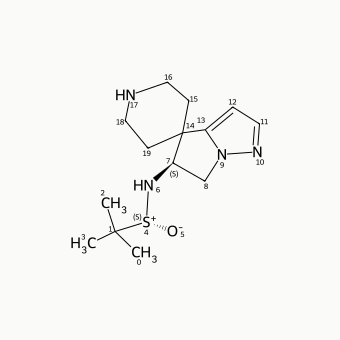 CC(C)(C)[S@@+]([O-])N[C@@H]1Cn2nccc2C12CCNCC2